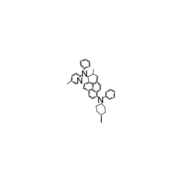 Cc1ccc(N(c2ccccc2)C2c3ccc4ccc(N(c5ccccc5)C5CCC(I)CC5)c5ccc(c3c45)=CC2C)nc1